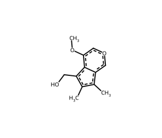 COc1cocc2c(C)c(C)c(CO)c1-2